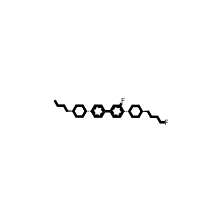 CCCC[C@H]1CC[C@H](c2ccc(-c3ccc([C@H]4CC[C@H](CCCCF)CC4)c(F)c3)cc2)CC1